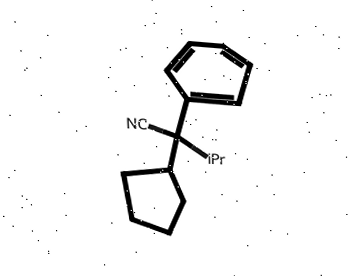 CC(C)C(C#N)(c1ccccc1)C1CCCC1